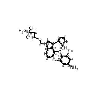 Cn1nccc1-c1cn(COCC[Si](C)(C)C)c2nccc(Oc3c(F)cc(N)cc3F)c12